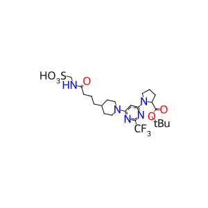 CC(C)(C)OC(=O)C1CCCN1c1cc(N2CCC(CCCC(=O)NCS(=O)(=O)O)CC2)nc(C(F)(F)F)n1